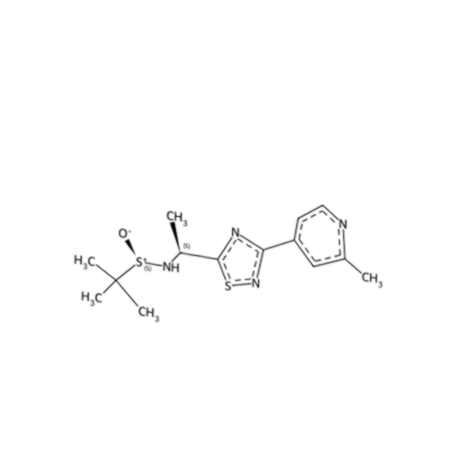 Cc1cc(-c2nsc([C@H](C)N[S@+]([O-])C(C)(C)C)n2)ccn1